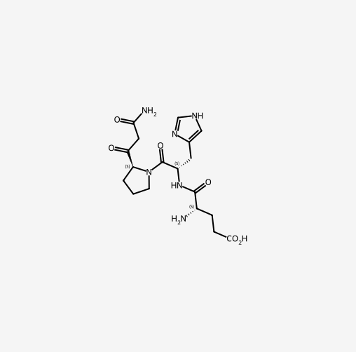 NC(=O)CC(=O)[C@@H]1CCCN1C(=O)[C@H](Cc1c[nH]cn1)NC(=O)[C@@H](N)CCC(=O)O